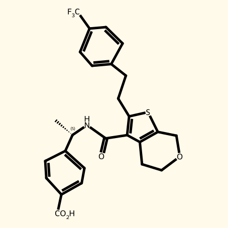 C[C@H](NC(=O)c1c(CCc2ccc(C(F)(F)F)cc2)sc2c1CCOC2)c1ccc(C(=O)O)cc1